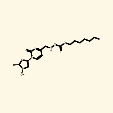 CCCCCCCOC(=O)ONCc1ccn([C@H]2C[P@@](O)[C@@H](C)O2)c(=O)n1